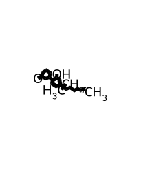 CCCCCCCC(C)(C)c1ccc(C2CCCC(=O)C2)c(O)c1